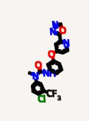 CN(C(=O)Nc1cccc(Oc2ccnc(-c3nnco3)c2)c1)c1ccc(Cl)c(C(F)(F)F)c1